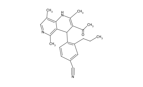 CCCc1cc(C#N)ccc1C1C(C(C)=O)=C(C)Nc2c(C)cnc(C)c21